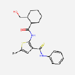 CC(C)c1cc(C(=S)Nc2ccccc2)c(NC(=O)C2CCCCC2CO)s1